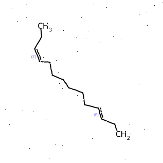 [CH2]C/C=C/CCCCCC/C=C\CC